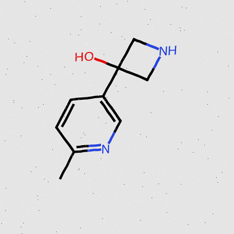 Cc1ccc(C2(O)CNC2)cn1